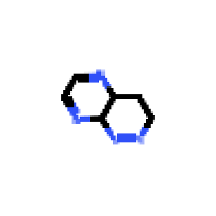 C1=NC2CCN=NC2N=C1